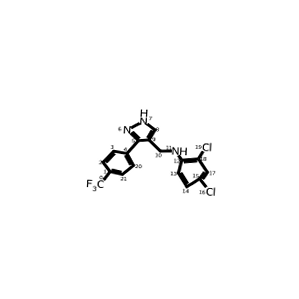 FC(F)(F)c1ccc(-c2n[nH]cc2CNc2ccc(Cl)cc2Cl)cc1